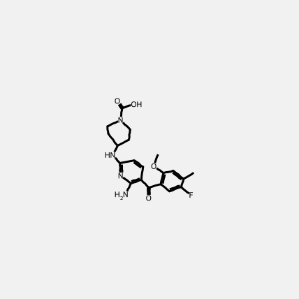 COc1cc(C)c(F)cc1C(=O)c1ccc(NC2CCN(C(=O)O)CC2)nc1N